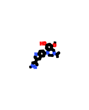 COc1cc(O)cc2c1CN(C(C)C)CCN2c1ccc2ncc(-c3cnn(C)c3)cc2c1